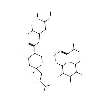 COC(CC(NC(=O)[C@H]1[C@H](C[C@H](/C=C/C(C)C)OC2OC(C)C(O)C(N)C2O)O[C@](O)(C[C@@H](O)C(C)C)C[C@@H]1O)C(O)O)OC